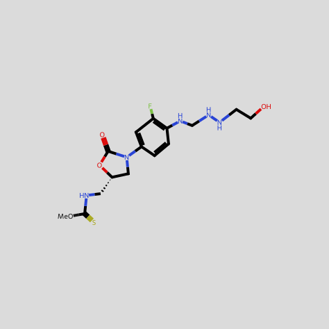 COC(=S)NC[C@H]1CN(c2ccc(NCNNCCO)c(F)c2)C(=O)O1